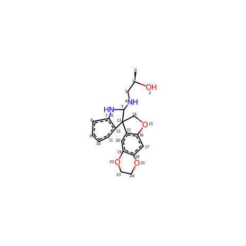 C[C@@H](O)CNC1Nc2ccccc2C12COc1cc3c(cc12)OCCO3